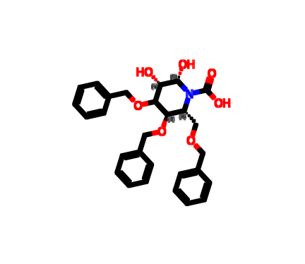 O=C(O)N1[C@H](COCc2ccccc2)[C@@H](OCc2ccccc2)C(OCc2ccccc2)[C@H](O)[C@@H]1O